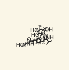 CC(C)c1[nH]nc(OC2OC(CO)C(F)C(O)C2O)c1Cc1ccc(/C=C/C(=O)NCCO)cc1